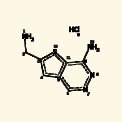 Cl.NCc1cc2cnnc(N)c2s1